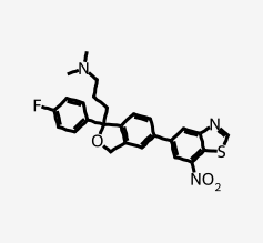 CN(C)CCCC1(c2ccc(F)cc2)OCc2cc(-c3cc([N+](=O)[O-])c4scnc4c3)ccc21